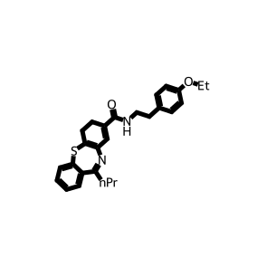 CCCC1=NC2=C(CCC(C(=O)NCCc3ccc(OCC)cc3)=C2)Sc2ccccc21